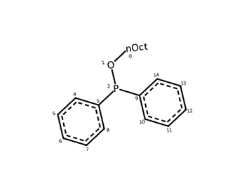 CCCCCCCCOP(c1ccccc1)c1ccccc1